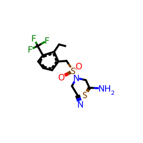 CCc1c(CS(=O)(=O)N(CC#N)CC(N)=S)cccc1C(F)(F)F